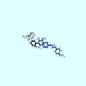 CCn1c(=O)c(-c2cc(S(=O)(=O)N(C)C)ccc2C)cc2cnc(NCCC3CCN(C)CC3)nc21